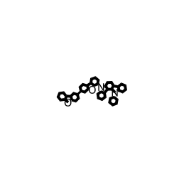 c1ccc(-n2c3ccccc3c3ccc4c(c5ccccc5n4-c4cccc5c4oc4cc(-c6ccc7oc8ccccc8c7c6)ccc45)c32)cc1